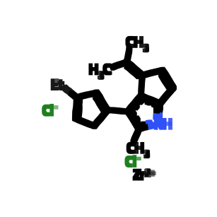 CCC1=CCC(c2c(C)[nH]c3c2C(=C(C)C)C=C3)=C1.[Cl-].[Cl-].[Zr+2]